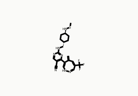 C=C1/C=C(C(F)(F)F)\C=N/N/C=C\1c1nc(NC[C@H]2CC[C@H](NSC)CC2)ncc1C#N